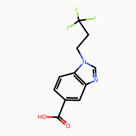 O=C(O)c1ccc2c(c1)ncn2CCC(F)(F)F